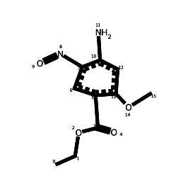 CCOC(=O)c1cc(N=O)c(N)cc1OC